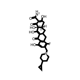 NC(=O)C1=C(O)C[C@@H]2CC3Cc4c(F)c(CN5CCC(C6CC6)CC5)cc(O)c4C(=O)C3=C(O)[C@]2(O)C1=O